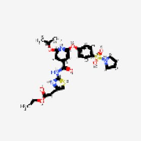 CCOC(=O)Cc1csc(NC(=O)c2cc(Oc3ccc(S(=O)(=O)N4CCCC4)cc3)nc(OC(C)C)c2)n1